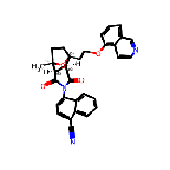 C[C@@]12CC[C@@](CCOc3cccc4cnccc34)(O1)[C@H]1C(=O)N(c3ccc(C#N)c4ccccc34)C(=O)[C@H]12